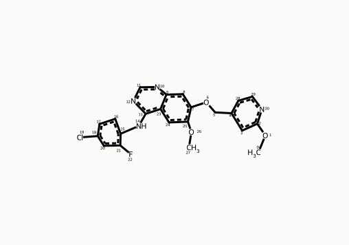 COc1cc(COc2cc3ncnc(Nc4ccc(Cl)cc4F)c3cc2OC)ccn1